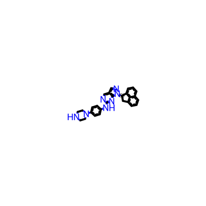 c1cc2c3c(cccc3c1)[C@H](n1ncc3cnc(Nc4ccc(N5CCNCC5)cc4)nc31)C2